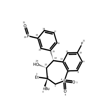 CCCC[C@]1(CC)CS(=O)(=O)c2ccc(F)cc2[C@@H](c2cccc(P=O)c2)[C@H]1O